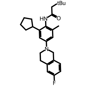 Cc1cc(N2CCc3cc(F)ccc3C2)cc(C2CCCC2)c1NC(=O)CC(C)(C)C